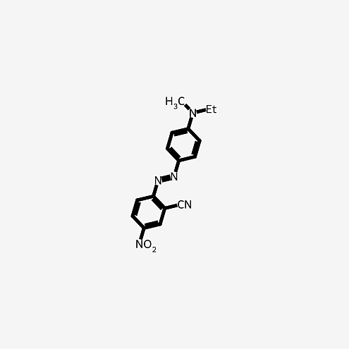 CCN(C)c1ccc(/N=N/c2ccc([N+](=O)[O-])cc2C#N)cc1